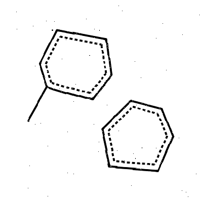 Cc1c[c]ccc1.c1ccccc1